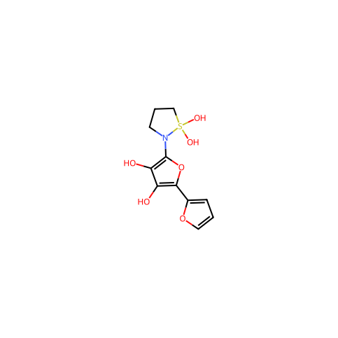 Oc1c(-c2ccco2)oc(N2CCCS2(O)O)c1O